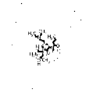 CCCC(=O)N(C)[C@@H](CSCCN(CC)CC)C(=O)N(C)[C@@H](CC(C)(C)O)C(N)=O